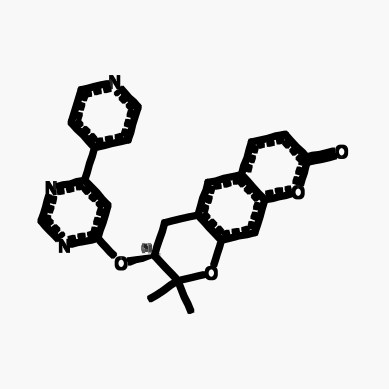 CC1(C)Oc2cc3oc(=O)ccc3cc2C[C@@H]1Oc1cc(-c2ccncc2)ncn1